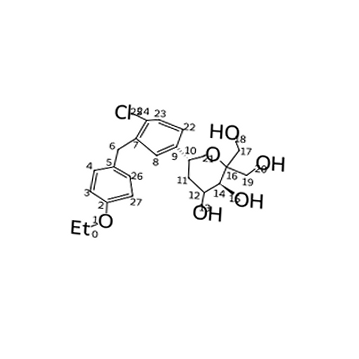 CCOc1ccc(Cc2cc([C@H]3CC(O)[C@H](O)C(CO)(CO)O3)ccc2Cl)cc1